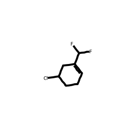 FC(F)C1=CC[CH]C(Cl)C1